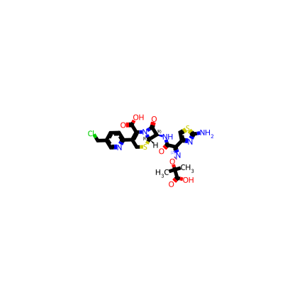 CC(C)(O/N=C(\C(=O)N[C@@H]1C(=O)N2C(C(=O)O)=C(c3ccc(CCl)cn3)CS[C@H]12)c1csc(N)n1)C(=O)O